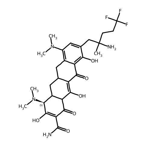 CN(C)c1cc(CC(C)(N)CCC(F)(F)F)c(O)c2c1CC1CC3C(C(=O)C(C(N)=O)=C(O)[C@H]3N(C)C)C(O)=C1C2=O